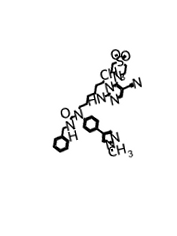 CCCC(CCCN(C(=O)NCc1ccccc1)c1ccc(-c2cnn(C)c2)cc1)Nc1ncc(C#N)c(N2CCS(=O)(=O)CC2)n1